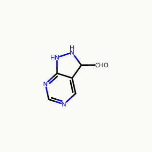 O=CC1NNc2ncncc21